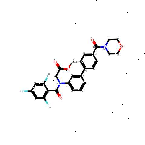 CC(C)(C)OC(=O)CN(C(=O)c1c(F)cc(F)cc1F)c1cccc(-c2ccc(C(=O)N3CCOCC3)cc2)c1